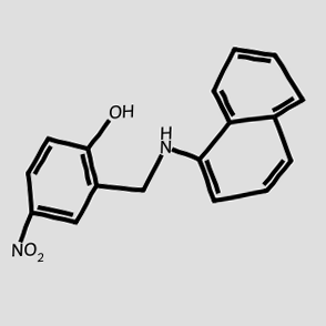 O=[N+]([O-])c1ccc(O)c(CNc2cccc3ccccc23)c1